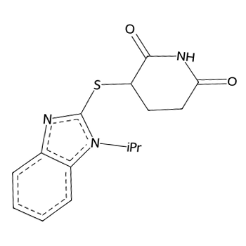 CC(C)n1c(SC2CCC(=O)NC2=O)nc2ccccc21